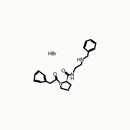 Br.O=C(NCCNCc1ccccc1)[C@H]1CCCN1C(=O)Cc1ccccc1